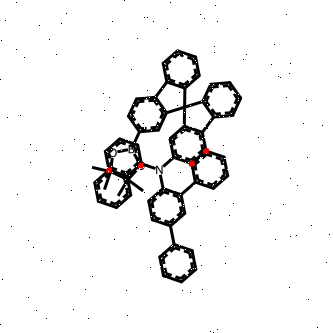 CC1(C)OB(c2ccc3c(c2)C2(c4ccccc4-3)c3ccccc3-c3ccc(N(c4ccc(-c5ccccc5)cc4-c4ccccc4)c4cccc5ccccc45)cc32)OC1(C)C